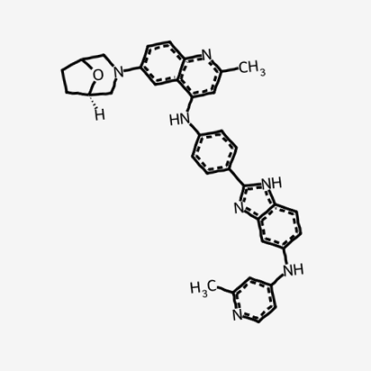 Cc1cc(Nc2ccc3[nH]c(-c4ccc(Nc5cc(C)nc6ccc(N7CC8CC[C@H](C7)O8)cc56)cc4)nc3c2)ccn1